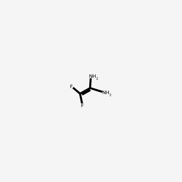 NC(N)=C(F)F